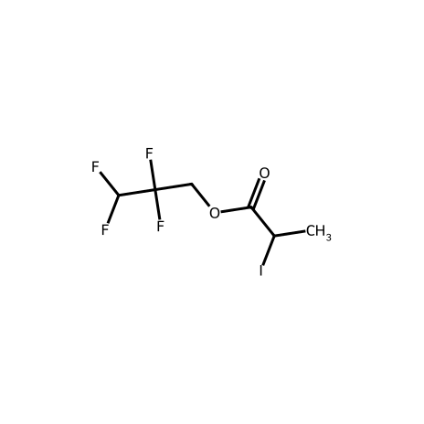 CC(I)C(=O)OCC(F)(F)C(F)F